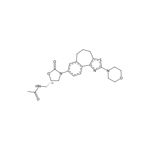 CC(=O)NC[C@H]1CN(c2ccc3c(c2)CCCc2sc(N4CCOCC4)nc2-3)C(=O)O1